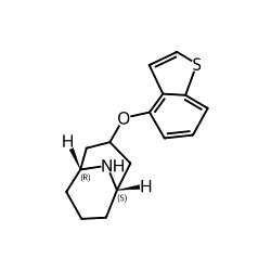 c1cc(OC2C[C@H]3CCC[C@@H](C2)N3)c2ccsc2c1